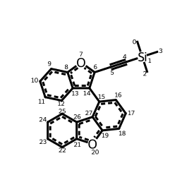 C[Si](C)(C)C#Cc1oc2ccccc2c1-c1cccc2oc3ccccc3c12